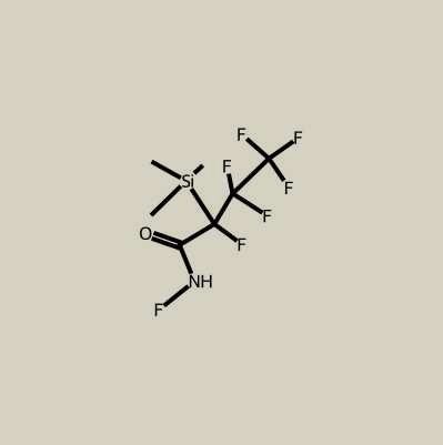 C[Si](C)(C)C(F)(C(=O)NF)C(F)(F)C(F)(F)F